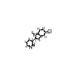 Cn1c(-c2cccnn2)cc2cc(Cl)ccc21